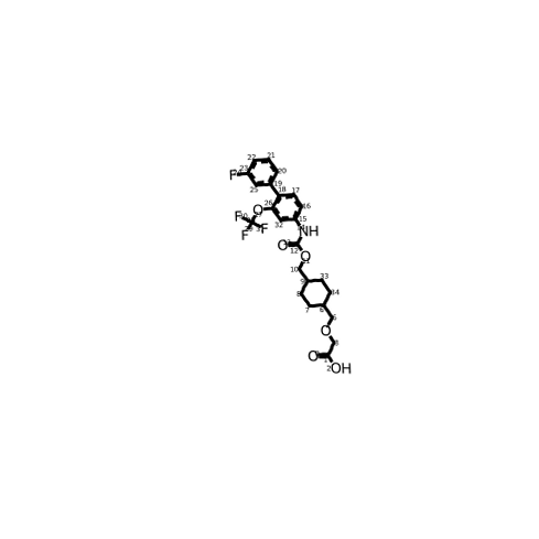 O=C(O)COCC1CCC(COC(=O)Nc2ccc(-c3cccc(F)c3)c(OC(F)(F)F)c2)CC1